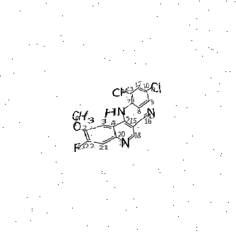 COc1cc2c(Nc3ccc(Cl)cc3Cl)c(C#N)cnc2cc1F